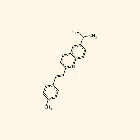 CN(C)c1ccc2nc(C=Cc3cc[n+](C)cc3)ccc2c1.[I-]